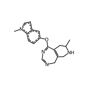 CC1CC2=C(CN=CN=C2Oc2ccc3c(ccn3C)c2)CN1